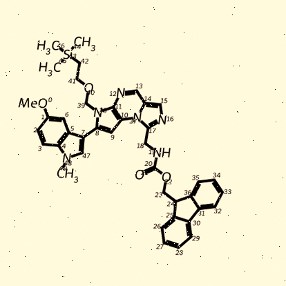 COc1ccc2c(c1)c(-c1cc3c(ncc4cnc(CNC(=O)OCC5c6ccccc6-c6ccccc65)n43)n1COCC[Si](C)(C)C)cn2C